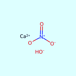 O=[N+]([O-])[O-].[Ca+2].[OH-]